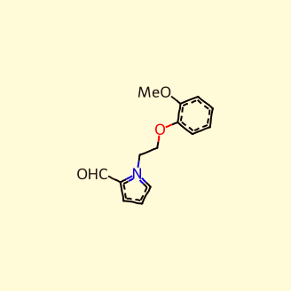 COc1ccccc1OCCn1cccc1C=O